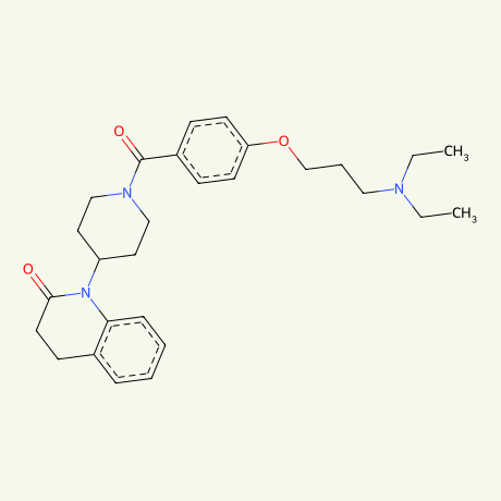 CCN(CC)CCCOc1ccc(C(=O)N2CCC(N3C(=O)CCc4ccccc43)CC2)cc1